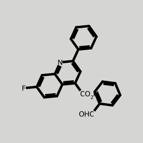 O=C(O)c1cc(-c2ccccc2)nc2cc(F)ccc12.O=Cc1ccccc1